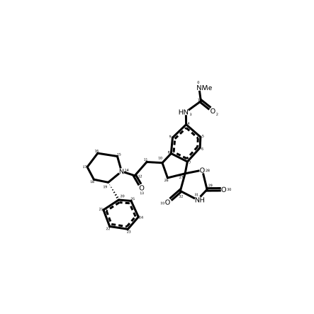 CNC(=O)Nc1ccc2c(c1)C(CC(=O)N1CCCC[C@H]1c1ccccc1)CC21OC(=O)NC1=O